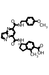 COc1ccc(CNC(=O)c2cc(C(=O)N[C@H]3CCc4c3ccc(C(=O)O)c4C)n3nccc3n2)cc1